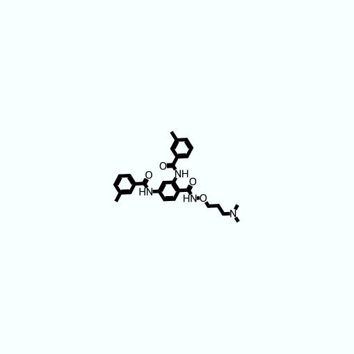 Cc1cccc(C(=O)Nc2ccc(C(=O)NOCCCN(C)C)c(NC(=O)c3cccc(C)c3)c2)c1